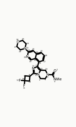 CNC(=O)N1CCn2c(C3CC(F)(F)C3)nc(-c3cccc4cc(N5CCOCC5)ncc34)c2C1